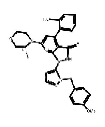 COc1ccc(Cn2nccc2-n2[nH]c(=O)c3c(-c4ccccc4C(F)(F)F)cc(N4CCOC[C@H]4C)nc32)cc1